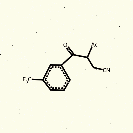 CC(=O)C(CC#N)C(=O)c1cccc(C(F)(F)F)c1